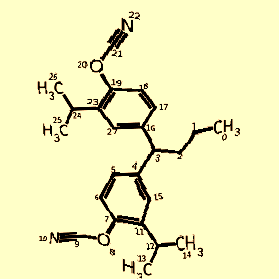 CCCC(c1ccc(OC#N)c(C(C)C)c1)c1ccc(OC#N)c(C(C)C)c1